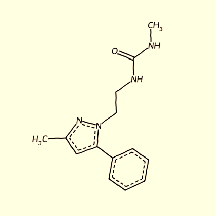 CNC(=O)NCCn1nc(C)cc1-c1ccccc1